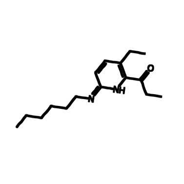 CCCCCCN=c1ccc(CC)c(C(=O)CC)[nH]1